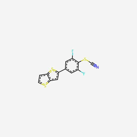 N#CSc1c(F)cc(-c2cc3sccc3s2)cc1F